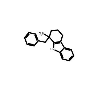 O=[N+]([O-])C1(Cc2ccccc2)CCCc2c1[nH]c1ccccc21